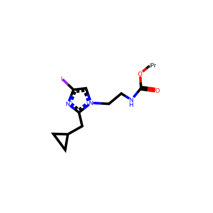 CC(C)OC(=O)NCCn1cc(I)nc1CC1CC1